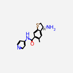 Cc1cc2c(cc1C(=O)Nc1ccncc1)SC[C@@H]2N